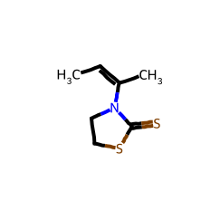 C/C=C(/C)N1CCSC1=S